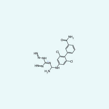 N=NN/C(N=N)=N/C(N)Nc1cc(Cl)c(-c2cccc(C(N)=O)c2)c(Cl)c1